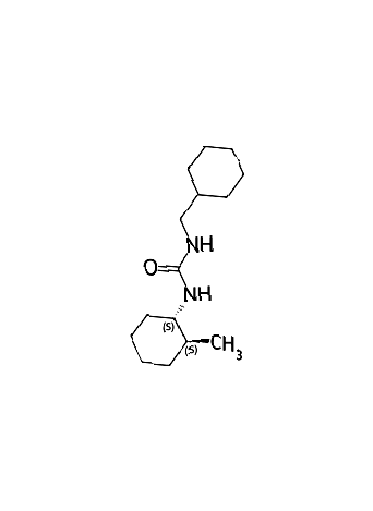 C[C@H]1CCCC[C@@H]1NC(=O)NCC1CCCCC1